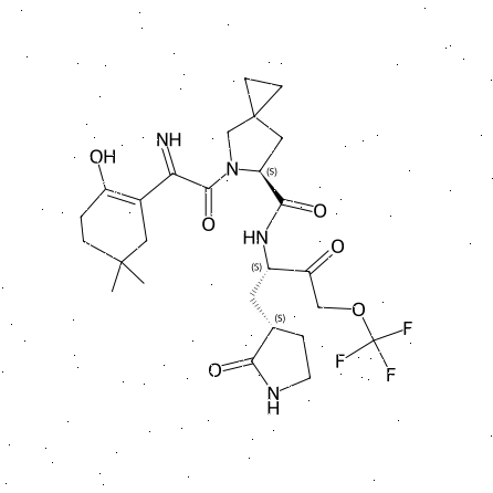 CC1(C)CCC(O)=C(C(=N)C(=O)N2CC3(CC3)C[C@H]2C(=O)N[C@@H](C[C@@H]2CCNC2=O)C(=O)COC(F)(F)F)C1